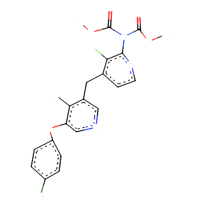 CCc1c(Cc2ccnc(N(C(=O)OC(C)(C)C)C(=O)OC(C)(C)C)c2F)cncc1Oc1ccc(Cl)cc1